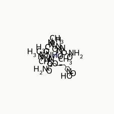 CCn1nc(C)cc1C(=O)Nc1nc2cc(C(N)=O)cc(OC)c2n1C/C=C/Cn1c(NC(=O)c2cc(C)nn2CC)nc2cc(C(N)=O)cc(OCC#CCC3CCN(C(=O)O)CC3)c21